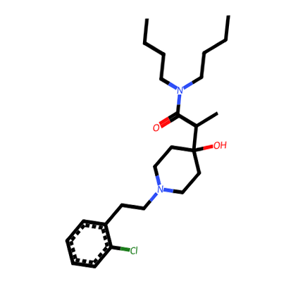 CCCCN(CCCC)C(=O)C(C)C1(O)CCN(CCc2ccccc2Cl)CC1